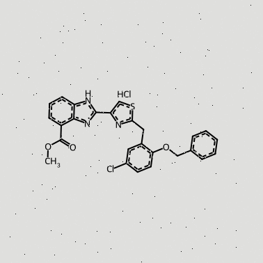 COC(=O)c1cccc2[nH]c(-c3csc(Cc4cc(Cl)ccc4OCc4ccccc4)n3)nc12.Cl